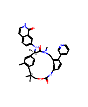 Cc1cc2ccc1[C@@H](C)COC(=O)Nc1ccc(-c3cccnc3)c(c1)CN(C)C(=O)[C@@H]2Nc1ccc2cc[nH]c(=O)c2c1